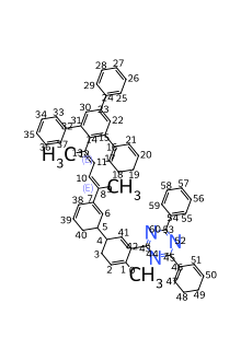 CC1=CCC(C2C=C(/C(C)=C/C=C(\C)c3c(C4=CCCC=C4)cc(-c4ccccc4)cc3-c3ccccc3)C=CC2)C=C1c1nc(C2=CCCC=C2)nc(-c2ccccc2)n1